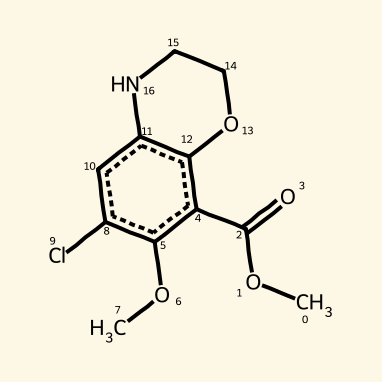 COC(=O)c1c(OC)c(Cl)cc2c1OCCN2